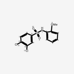 COc1ccccc1NS(=O)(=O)c1ccc(Cl)c(Cl)c1